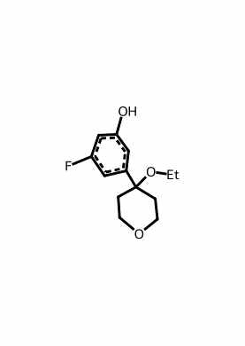 CCOC1(c2cc(O)cc(F)c2)CCOCC1